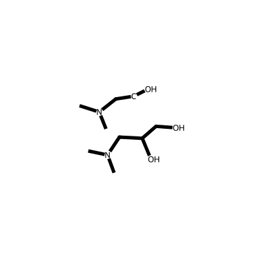 CN(C)CC(O)CO.CN(C)CCO